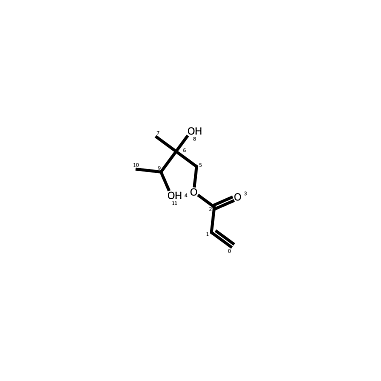 C=CC(=O)OCC(C)(O)C(C)O